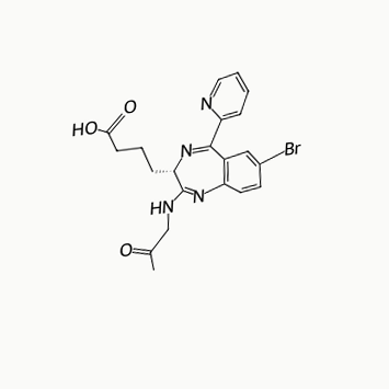 CC(=O)CNC1=Nc2ccc(Br)cc2C(c2ccccn2)=N[C@H]1CCCC(=O)O